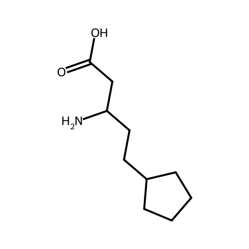 NC(CCC1CCCC1)CC(=O)O